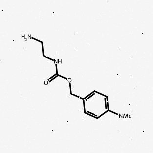 CNc1ccc(COC(=O)NCCN)cc1